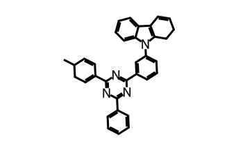 CC1C=CC(c2nc(-c3ccccc3)nc(-c3cccc(-n4c5c(c6ccccc64)C=CCC5)c3)n2)=CC1